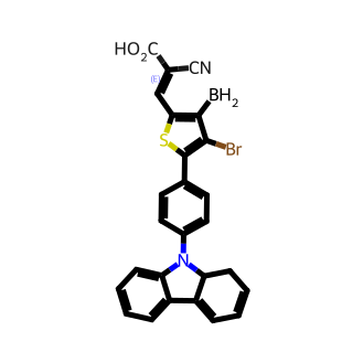 Bc1c(/C=C(\C#N)C(=O)O)sc(-c2ccc(N3c4ccccc4C4=CC=CCC43)cc2)c1Br